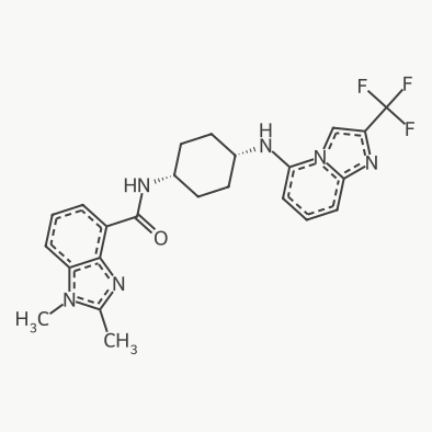 Cc1nc2c(C(=O)N[C@H]3CC[C@@H](Nc4cccc5nc(C(F)(F)F)cn45)CC3)cccc2n1C